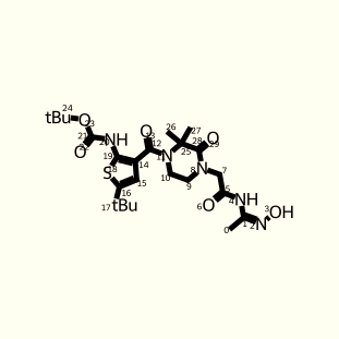 C/C(=N/O)NC(=O)CN1CCN(C(=O)c2cc(C(C)(C)C)sc2NC(=O)OC(C)(C)C)C(C)(C)C1=O